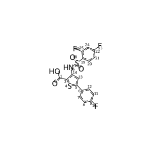 O=C(O)c1sc(-c2ccc(F)cc2)cc1NS(=O)(=O)c1ccc(F)cc1F